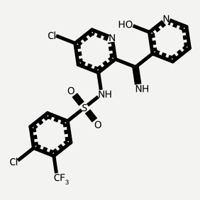 N=C(c1cccnc1O)c1ncc(Cl)cc1NS(=O)(=O)c1ccc(Cl)c(C(F)(F)F)c1